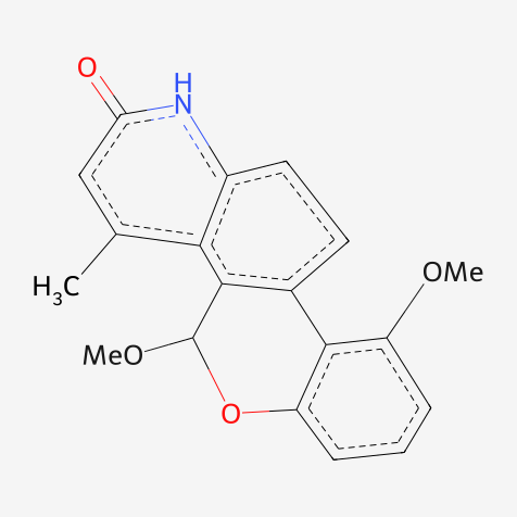 COc1cccc2c1-c1ccc3[nH]c(=O)cc(C)c3c1C(OC)O2